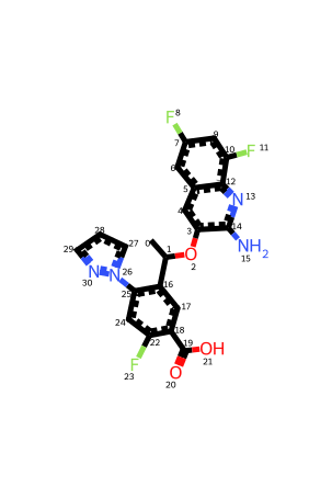 CC(Oc1cc2cc(F)cc(F)c2nc1N)c1cc(C(=O)O)c(F)cc1-n1cccn1